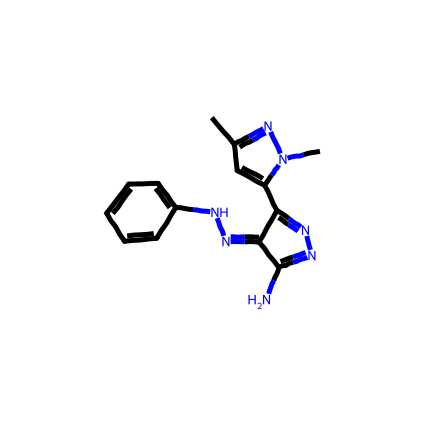 Cc1cc(C2=NN=C(N)C2=NNc2ccccc2)n(C)n1